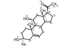 [2H][C@]1(O)CC[C@@]2(C)C(=CCC3C2[C@@H](O)C[C@@]2(C)C3CC[C@@H]2C(C)=O)C1